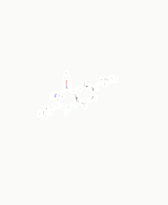 CC(=O)Nc1ccc2c(c1)C(=O)NC(C(Cl)(Cl)Cl)O2